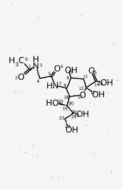 CC(=O)NCC(=O)NC1C(O)CC(O)(C(=O)O)OC1[C@H](O)[C@H](O)CO